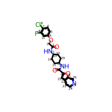 O=C(COc1ccc(Cl)c(F)c1)N[C@H]1CC[C@H](NC(=O)c2cc3ccncc3o2)CC1